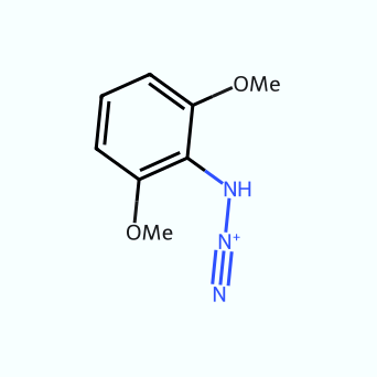 COc1cccc(OC)c1N[N+]#N